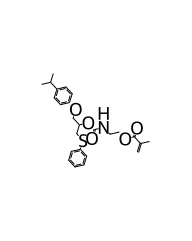 C=C(C)C(=O)OCCNC(=O)OC(COc1ccc(C(C)C)cc1)CSc1ccccc1